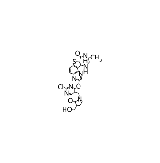 C[C@@H]1CNc2c(sc3ccc4nc(Oc5nc(Cl)ncc5CN5CCC(CO)C5=O)cnc4c23)C(=O)N1